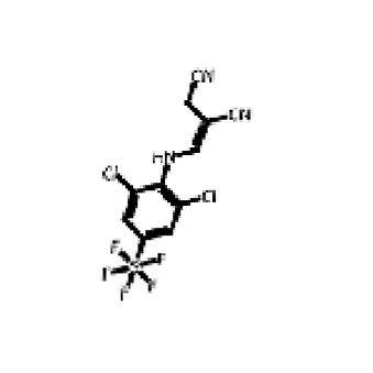 N#CCC(C#N)=CNc1c(Cl)cc(S(F)(F)(F)(F)F)cc1Cl